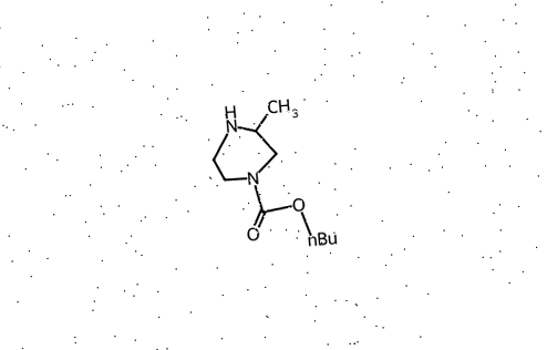 CCCCOC(=O)N1CCNC(C)C1